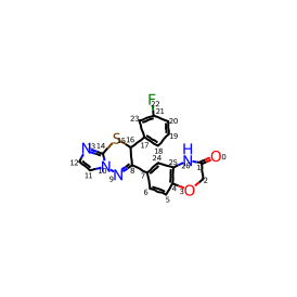 O=C1COc2ccc(C3=Nn4ccnc4SC3c3cccc(F)c3)cc2N1